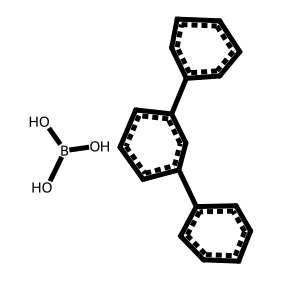 OB(O)O.c1ccc(-c2cccc(-c3ccccc3)c2)cc1